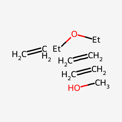 C=C.C=C.C=C.CCOCC.CO